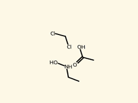 CC(=O)O.CCNO.ClCCl